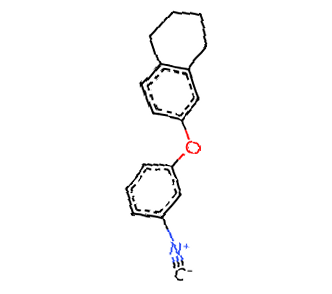 [C-]#[N+]c1cccc(Oc2ccc3c(c2)CCCC3)c1